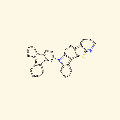 c1cnc2sc3c(ccc4c3c3ccccc3n4-c3ccc4c5ccccc5c5ccccc5c4c3)c2c1